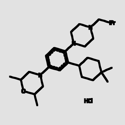 CC(C)CN1CCN(c2ccc(N3CC(C)OC(C)C3)cc2C2CCC(C)(C)CC2)CC1.Cl